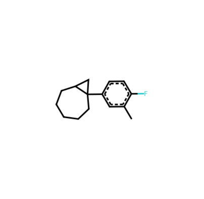 Cc1cc(C23CCCCCC2C3)ccc1F